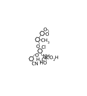 Cc1c(COc2cc(OCc3cccc(C#N)c3)c(CN[C@@](C)(CO)C(=O)O)cc2Cl)cccc1-c1ccc2c(c1)OCCO2